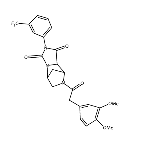 COc1ccc(CC(=O)N2CC3CC2C2C(=O)N(c4cccc(C(F)(F)F)c4)C(=O)N32)cc1OC